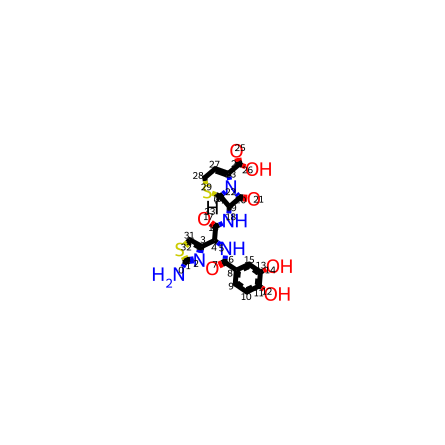 Nc1nc(C(NC(=O)c2ccc(O)c(O)c2)C(=O)NC2C(=O)N3C(C(=O)O)=CCS[C@@H]23)cs1